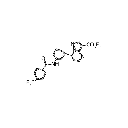 CCOC(=O)c1cnn2c(-c3cccc(NC(=O)c4ccc(C(F)(F)F)cc4)c3)ccnc12